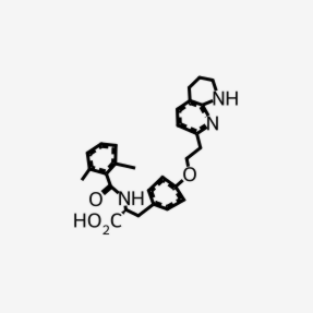 Cc1cccc(C)c1C(=O)N[C@@H](Cc1ccc(OCCc2ccc3c(n2)NCCC3)cc1)C(=O)O